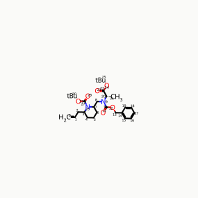 C=CCC1CCCC(CN(C(=O)OCc2ccccc2)[C@@H](C)C(=O)OC(C)(C)C)N1C(=O)OC(C)(C)C